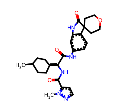 CC1CCC(=C(NC(=O)c2ccnn2C)C(=O)Nc2ccc3c(c2)NC(=O)C32CCOCC2)CC1